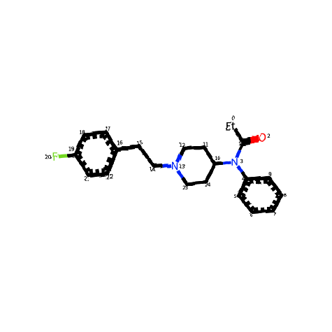 CCC(=O)N(c1ccccc1)C1CCN(CCc2ccc(F)cc2)CC1